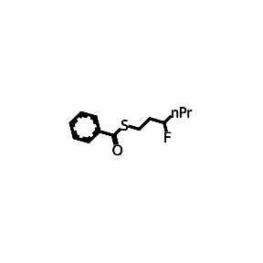 CCCC(F)CCSC(=O)c1ccccc1